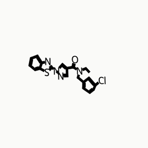 CCN(Cc1cccc(Cl)c1)C(=O)c1cnn(-c2nc3ccccc3s2)c1